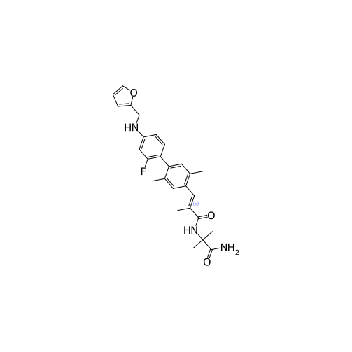 C/C(=C\c1cc(C)c(-c2ccc(NCc3ccco3)cc2F)cc1C)C(=O)NC(C)(C)C(N)=O